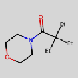 CCC(CC)(CC)C(=O)N1CCOCC1